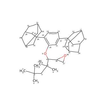 CC(C)(C)CC(C)(C)C(Oc1cc(C23CC4CC(CC(C4)C2)C3)ccc1C12CC3CC(CC(C3)C1)C2)C1CO1